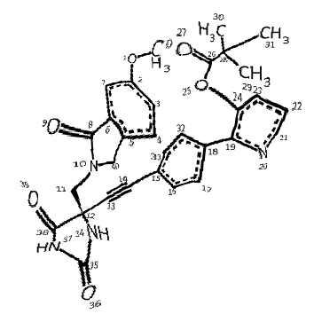 COc1ccc2c(c1)C(=O)N(C[C@@]1(C#Cc3ccc(-c4ncccc4OC(=O)C(C)(C)C)cc3)NC(=O)NC1=O)C2